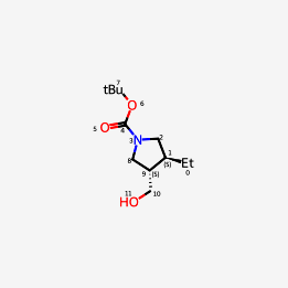 CC[C@@H]1CN(C(=O)OC(C)(C)C)C[C@H]1CO